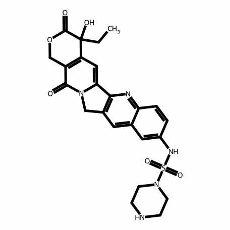 CCC1(O)C(=O)OCc2c1cc1n(c2=O)Cc2cc3cc(NS(=O)(=O)N4CCNCC4)ccc3nc2-1